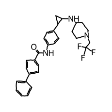 O=C(Nc1ccc(C2CC2NC2CCN(CC(F)(F)F)CC2)cc1)c1ccc(-c2ccccc2)cc1